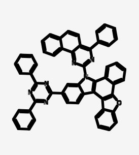 c1ccc(-c2nc(-c3ccccc3)nc(-c3ccc4c5c6c7ccccc7oc6c6ccccc6c5n(-c5nc(-c6ccccc6)c6ccc7ccccc7c6n5)c4c3)n2)cc1